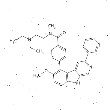 CCN(CC)CCN(C)C(=O)c1ccc(-c2c(OC)ccc3[nH]c4cnc(-c5cccnc5)cc4c23)cc1